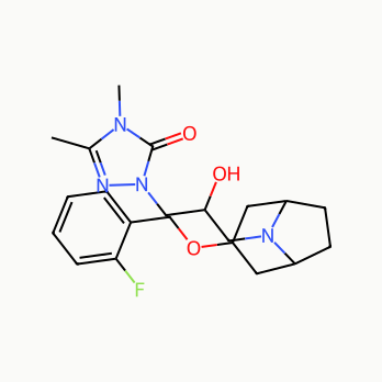 Cc1nn(CC(O)CN2C3CCC2CC(OCc2ccccc2F)C3)c(=O)n1C